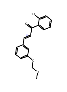 COCOc1cccc(/C=C/C(=O)c2ccccc2O)c1